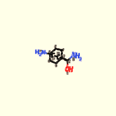 NC(O)C12CCC(N)(CC1)CC2